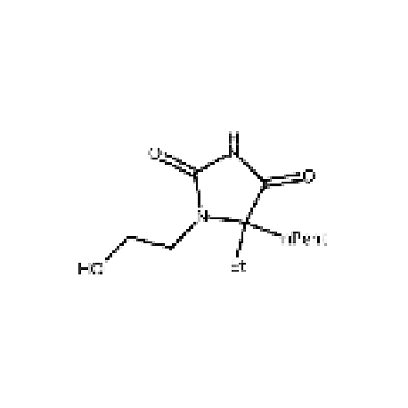 CCCCCC1(CC)C(=O)NC(=O)N1CCO